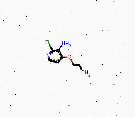 CCCOc1ccnc(Cl)c1N